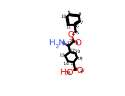 NC(C(=O)OCc1ccccc1)C1CCC(C(=O)O)CC1